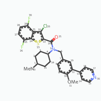 CNC1CCC(N(Cc2ccc(OC)c(-c3ccncc3)c2)C(=O)c2sc3c(F)ccc(F)c3c2Cl)CC1